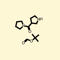 CC(C)(C)OC=O.O=C(C1CCNC1)N1CCCC1